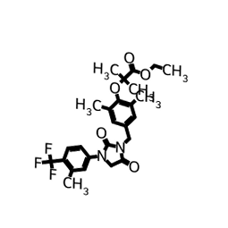 CCOC(=O)C(C)(C)Oc1c(C)cc(CN2C(=O)CN(c3ccc(C(F)(F)F)c(C)c3)C2=O)cc1C